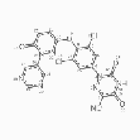 N#Cc1nn(-c2cc(Cl)c(Oc3ccc(=O)n(-c4cncnc4)n3)c(Cl)c2)c(=O)[nH]c1=O